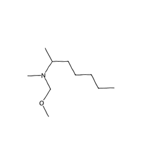 CCCCCC(C)N(C)COC